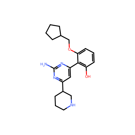 Nc1nc(-c2c(O)cccc2OCC2CCCC2)cc(C2CCCNC2)n1